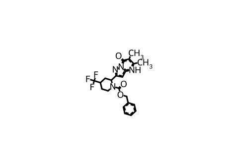 Cc1[nH]c2cc(C3CC(C(F)(F)F)CCN3C(=O)OCc3ccccc3)nn2c(=O)c1C